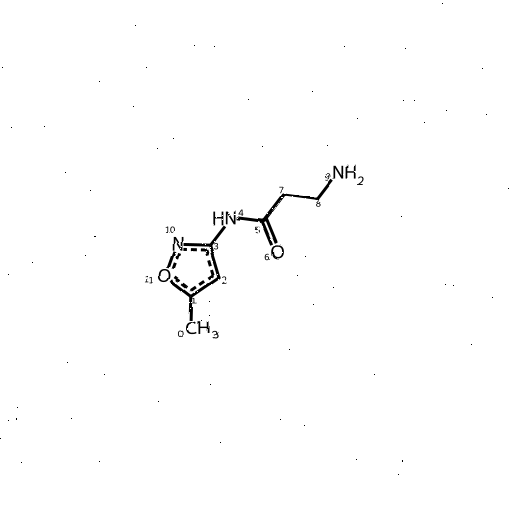 Cc1cc(NC(=O)CCN)no1